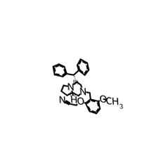 COc1cccc(OCC#N)c1CN1C[C@@H]2CCCN2[C@H](C(c2ccccc2)c2ccccc2)C1